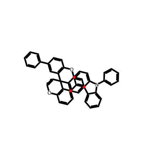 c1ccc(-c2ccc3c(c2)C2(c4ccccc4O3)c3ccccc3Oc3cccc(-c4cccc5c4c4ccccc4n5-c4ccccc4)c32)cc1